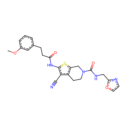 COc1cccc(CCC(=O)Nc2sc3c(c2C#N)CCN(C(=O)NCc2ncco2)C3)c1